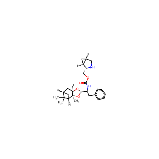 CC1(C)[C@@H]2C[C@H]3OB([C@H](Cc4ccccc4)NC(=O)OC[C@H]4NC[C@H]5C[C@H]54)O[C@@]3(C)[C@H]1C2